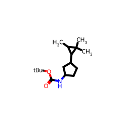 CC1C(C2CCC(NC(=O)OC(C)(C)C)C2)C1(C)C